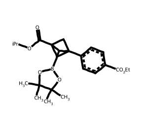 CCOC(=O)c1ccc(C23CC(C(=O)OC(C)C)(C2)C3B2OC(C)(C)C(C)(C)O2)cc1